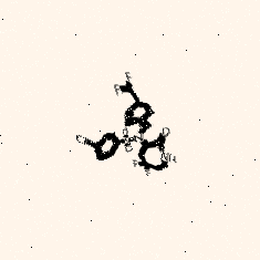 O=C1NCCC(F)(F)CC1N(Cc1ccc(C(F)F)cc1)S(=O)(=O)c1ccc(Cl)cc1